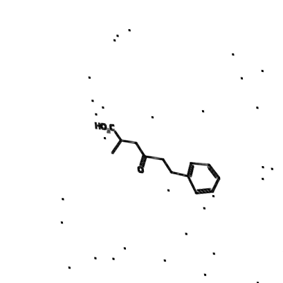 CC(CC(=O)CCc1ccccc1)C(=O)O